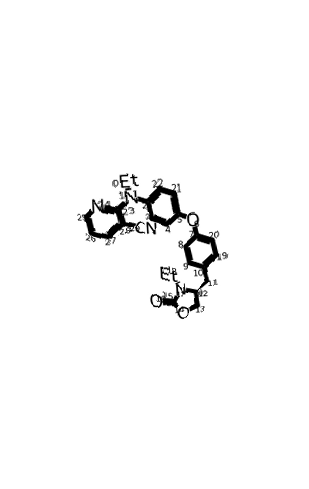 CCN(c1ccc(Oc2ccc(C[C@H]3COC(=O)N3CC)cc2)cc1)c1ncccc1C#N